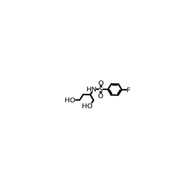 O=S(=O)(NC(CO)CCO)c1ccc(F)cc1